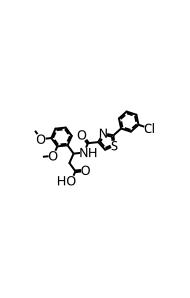 COc1cccc(C(CC(=O)O)NC(=O)c2csc(-c3cccc(Cl)c3)n2)c1OC